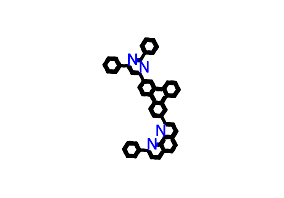 c1ccc(-c2cc(-c3ccc4c5ccc(-c6ccc7ccc8ccc(-c9ccccc9)nc8c7n6)cc5c5ccccc5c4c3)nc(-c3ccccc3)n2)cc1